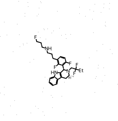 CCC(F)(F)CN1C(c2c(F)ccc(CCCNCCCF)c2F)c2[nH]c3ccccc3c2C[C@H]1C